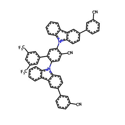 N#Cc1cccc(-c2ccc3c(c2)c2ccccc2n3-c2cc(-c3cc(C(F)(F)F)cc(C(F)(F)F)c3)c(-n3c4ccccc4c4cc(-c5cccc(C#N)c5)ccc43)cc2C#N)c1